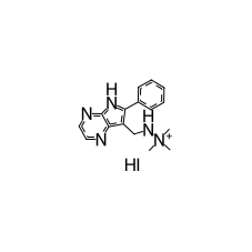 C[N+](C)(C)NCc1c(-c2ccccc2)[nH]c2nccnc12.I